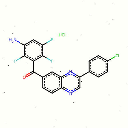 Cl.Nc1cc(F)c(F)c(C(=O)c2ccc3ncc(-c4ccc(Cl)cc4)nc3c2)c1F